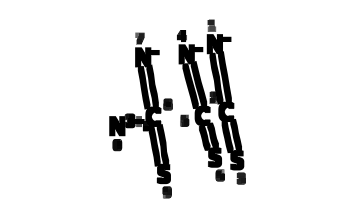 [N+3].[N-]=C=S.[N-]=C=S.[N-]=C=S